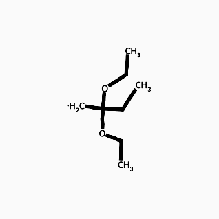 [CH2]C(CC)(OCC)OCC